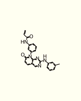 C=CC(=O)Nc1cccc(-n2c(=O)ccc3cnc(Nc4cccc(C)c4)nc32)c1